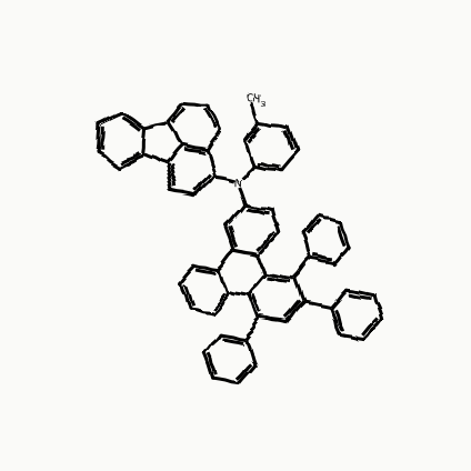 Cc1cccc(N(c2ccc3c(c2)c2ccccc2c2c(-c4ccccc4)cc(-c4ccccc4)c(-c4ccccc4)c32)c2ccc3c4c(cccc24)-c2ccccc2-3)c1